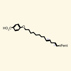 CCCCC/C=C/C/C=C/CCCCCCCCOc1ccc(C(=O)O)cc1